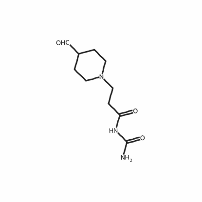 NC(=O)NC(=O)CCN1CCC(C=O)CC1